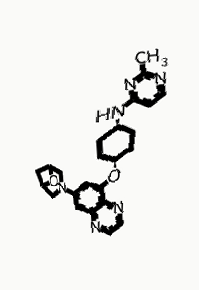 Cc1nccc(N[C@H]2CC[C@@H](Oc3cc(N4CC5CC(C4)O5)cc4nccnc34)CC2)n1